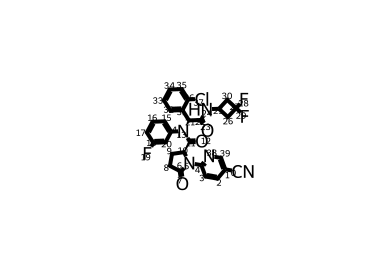 N#Cc1ccc(N2C(=O)CC[C@H]2C(=O)N(c2cccc(F)c2)[C@@H](C(=O)NC2CC(F)(F)C2)c2ccccc2Cl)nc1